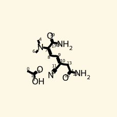 CC(=O)O.CN(C)C(=CC=C(C#N)CC(N)=O)C(N)=O